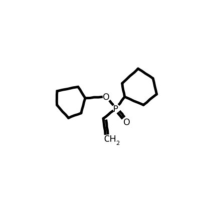 C=CP(=O)(OC1CCCCC1)C1CCCCC1